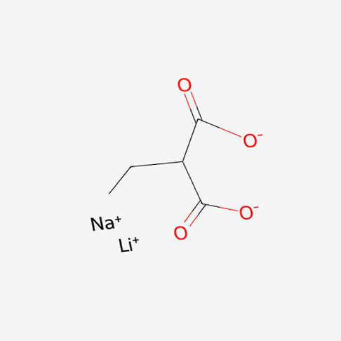 CCC(C(=O)[O-])C(=O)[O-].[Li+].[Na+]